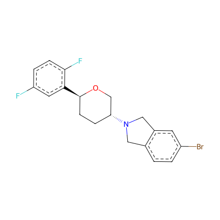 Fc1ccc(F)c([C@@H]2CC[C@@H](N3Cc4ccc(Br)cc4C3)CO2)c1